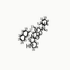 CNC(=O)[C@@H](Cc1ccccc1)N(C)C(=O)[C@@H](Cc1ccc2ccccc2c1)N(C)C(=O)C1CCCNC1C